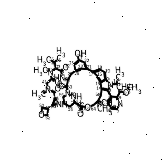 CCn1c(-c2cccnc2[C@H](C)OC)c2c3cc(ccc31)-c1cc(O)cc(c1)C[C@H](NC(=O)C(C(C)C)N(C)C(=O)CN(C)C(=O)[C@H]1N[C@@H]1C1COC1)C(=O)N1CCC[C@H](N1)C(=O)OCC(C)(C)C2